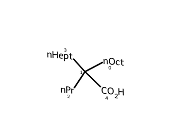 CCCCCCCCC(CCC)(CCCCCCC)C(=O)O